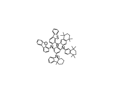 CC1(C)CCC(C)(C)c2cc(N3c4cc5c(cc4B4c6c3cc(N3c7ccccc7C7(C)CCCCC37C)cc6N(c3cccc6c3oc3ccccc36)c3ccc6c(sc7ccccc76)c34)C(C)(C)CCC5(C)C)ccc21